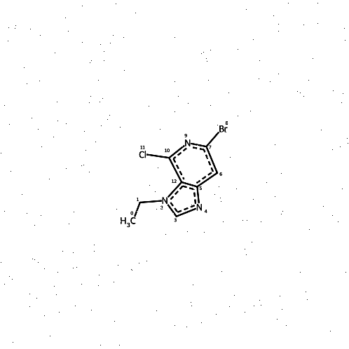 CCn1cnc2cc(Br)nc(Cl)c21